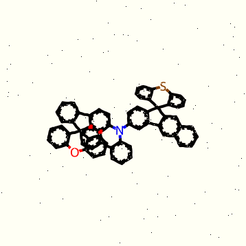 c1ccc(-c2ccccc2N(c2ccc3c(c2)-c2cc4ccccc4cc2C32c3ccccc3Sc3ccccc32)c2ccc3c(c2)C2(c4ccccc4Oc4ccccc42)c2ccccc2-3)cc1